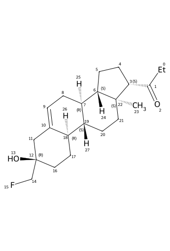 CCC(=O)[C@H]1CC[C@H]2[C@@H]3CC=C4C[C@@](O)(CF)CC[C@@H]4[C@H]3CC[C@]12C